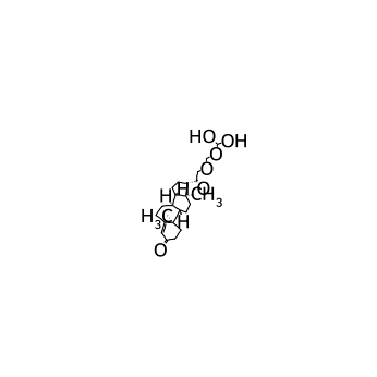 C[C@]12CC[C@H]3[C@@H](CCC4=CC(=O)CC[C@@]43C)[C@@H]1CC[C@@H]2C(=O)COCOC(O)O